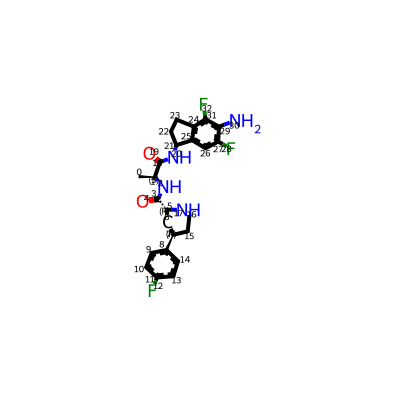 C[C@H](NC(=O)[C@H]1C[C@H](c2ccc(F)cc2)CCN1)C(=O)NC1CCc2c1cc(F)c(N)c2F